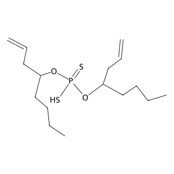 C=CCC(CCCC)OP(=S)(S)OC(CC=C)CCCC